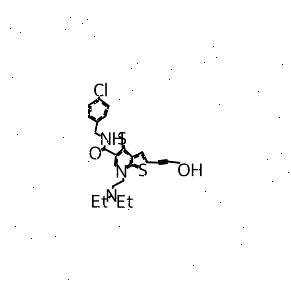 CCN(CC)CCn1cc(C(=O)NCc2ccc(Cl)cc2)c(=S)c2cc(C#CCO)sc21